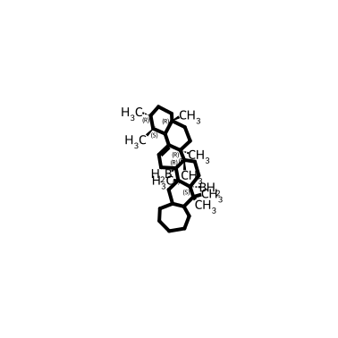 B[C@]12CC=C3C4[C@@H](C)[C@H](C)CC[C@]4(C)CC[C@@]3(C)[C@]1(C)CC[C@@]1(B)C(C)(C)C3CCCCCC3C[C@]21C